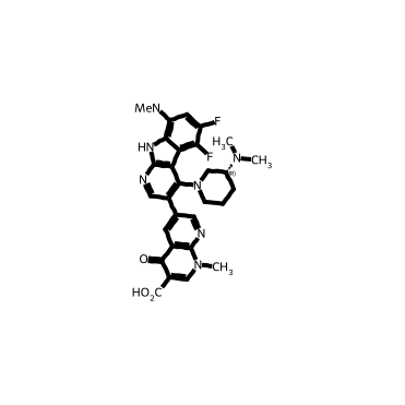 CNc1cc(F)c(F)c2c1[nH]c1ncc(-c3cnc4c(c3)c(=O)c(C(=O)O)cn4C)c(N3CCC[C@@H](N(C)C)C3)c12